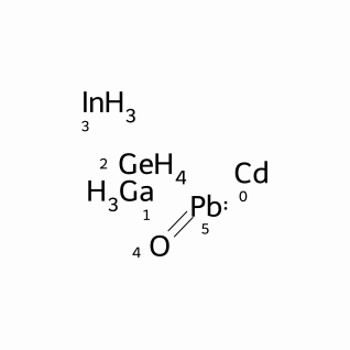 [Cd].[GaH3].[GeH4].[InH3].[O]=[Pb]